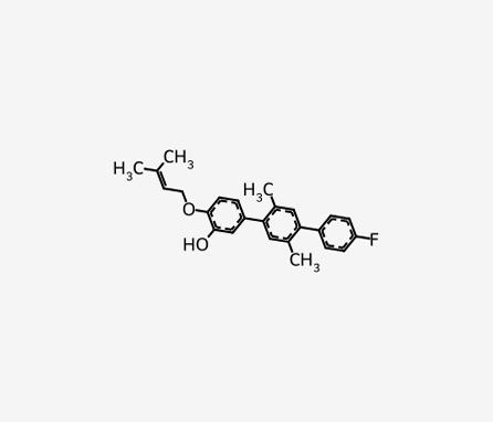 CC(C)=CCOc1ccc(-c2cc(C)c(-c3ccc(F)cc3)cc2C)cc1O